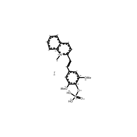 COc1cc(C=Cc2ccc3ccccc3[n+]2C)cc(OC)c1OP(=O)(O)O.[I-]